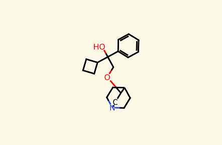 OC(COC1CN2CCC1CC2)(c1ccccc1)C1CCC1